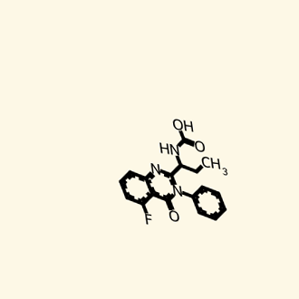 CCC(NC(=O)O)c1nc2cccc(F)c2c(=O)n1-c1ccccc1